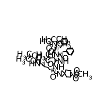 CC(C)C[C@@H](NC(=O)[C@@H](Cc1ccccc1)NC(=O)[C@@H](Cc1ccccc1)N(C(=O)O)C(C)(C)C)C(=O)N[C@H](CCCCNC(=O)OC(C)(C)C)C(=O)N1CC2(CCN(S(C)(=O)=O)CC2)C1